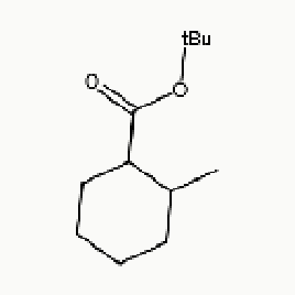 CC1CCCCC1C(=O)OC(C)(C)C